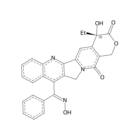 CC[C@@]1(O)C(=O)OCc2c1cc1n(c2=O)Cc2c-1nc1ccccc1c2C(=NO)c1ccccc1